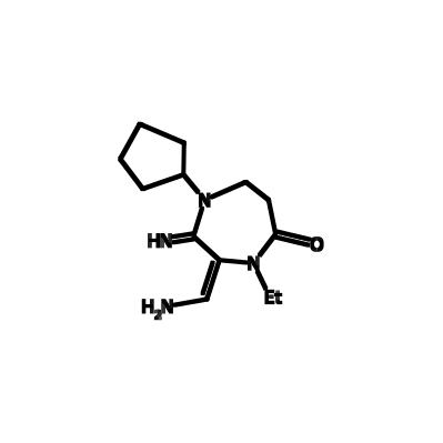 CCN1C(=O)CCN(C2CCCC2)C(=N)/C1=C\N